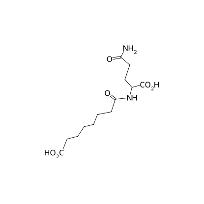 NC(=O)CCC(NC(=O)CCCCCCC(=O)O)C(=O)O